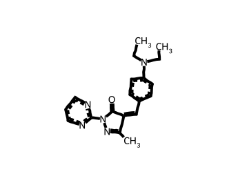 CCN(CC)c1ccc(/C=C2\C(=O)N(c3ncccn3)N=C2C)cc1